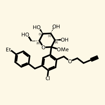 C#CCCOCc1cc(Cl)c(Cc2ccc(CC)cc2)cc1C1(OC)O[C@H](CO)[C@@H](O)[C@H](O)[C@H]1O